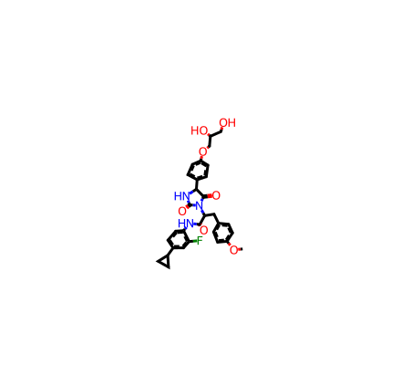 COc1ccc(CC(C(=O)Nc2ccc(C3CC3)cc2F)N2C(=O)NC(c3ccc(OCC(O)CO)cc3)C2=O)cc1